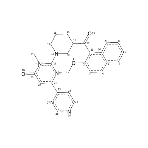 COc1ccc2ccccc2c1C(=O)C1CCCN(c2nc(-c3ccncn3)cc(=O)n2C)C1